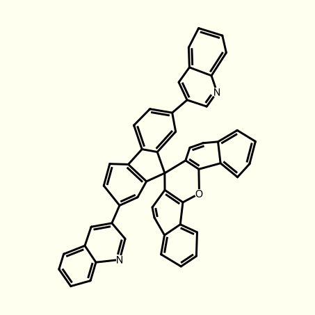 c1ccc2ncc(-c3ccc4c(c3)C3(c5cc(-c6cnc7ccccc7c6)ccc5-4)c4ccc5ccccc5c4Oc4c3ccc3ccccc43)cc2c1